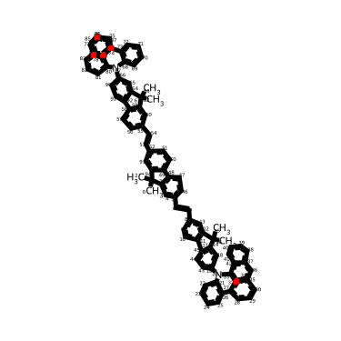 CC1(C)c2cc(/C=C/c3ccc4c(c3)C(C)(C)c3cc(N(c5ccccc5-c5ccccc5)c5cccc6ccccc56)ccc3-4)ccc2-c2ccc(/C=C/c3ccc4c(c3)C(C)(C)c3cc(N(c5ccccc5-c5ccccc5)c5cccc6ccccc56)ccc3-4)cc21